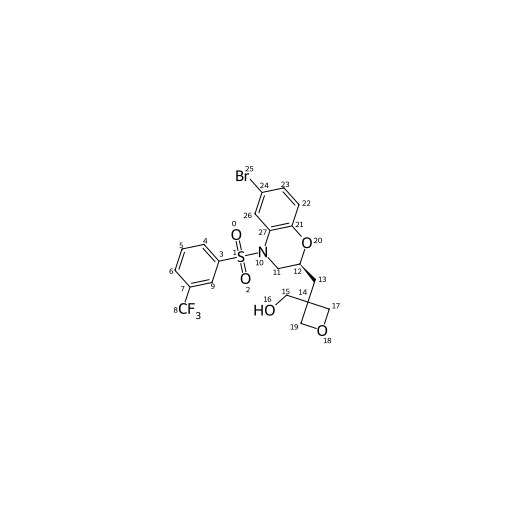 O=S(=O)(c1cccc(C(F)(F)F)c1)N1C[C@H](CC2(CO)COC2)Oc2ccc(Br)cc21